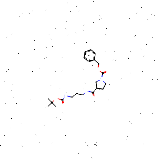 CC(C)(C)OC(=O)NCCCNC(=O)C1CCN(C(=O)OCc2ccccc2)C1